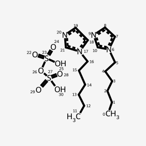 CCCCCCn1ccnc1.CCCCCCn1ccnc1.O=S(=O)(O)OS(=O)(=O)O